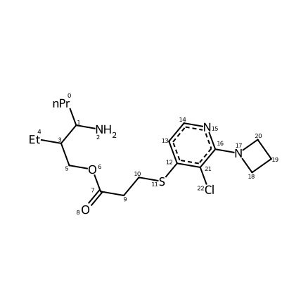 CCCC(N)C(CC)COC(=O)CCSc1ccnc(N2CCC2)c1Cl